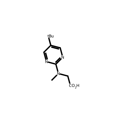 CN(CC(=O)O)c1ncc(C(C)(C)C)cn1